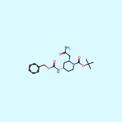 CC(C)(C)OC(=O)N1CC[C@H](NC(=O)OCc2ccccc2)C[C@H]1CC(N)=O